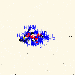 N=C(N)NCCCC(CN[C@@H](CCCNC(=N)N)C(=O)NC(CCCNC(=N)N)C(=O)N[C@@H](CCCNC(=N)N)C(=O)NC(CCCNC(=N)N)C(=O)N[C@@H](CCCNC(=N)N)C(N)=O)NC(=O)[C@H](CCCNC(=N)N)NC(=O)C(N)CSSc1ncccc1N=O